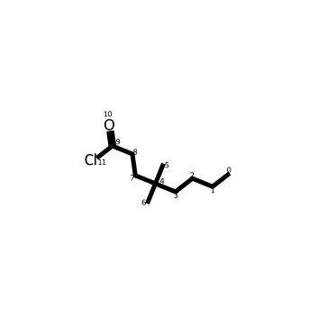 CCCCC(C)(C)CCC(=O)Cl